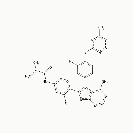 C=C(C)C(=O)Nc1ccc(-c2nn3ncnc(N)c3c2-c2ccc(Oc3nccc(C)n3)c(F)c2)c(Cl)c1